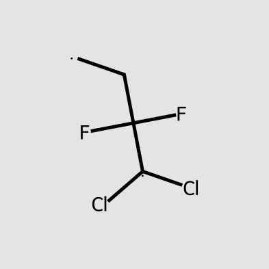 [CH2]CC(F)(F)[C](Cl)Cl